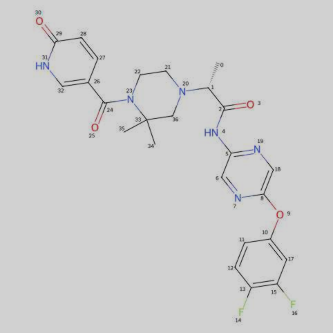 C[C@H](C(=O)Nc1cnc(Oc2ccc(F)c(F)c2)cn1)N1CCN(C(=O)c2ccc(=O)[nH]c2)C(C)(C)C1